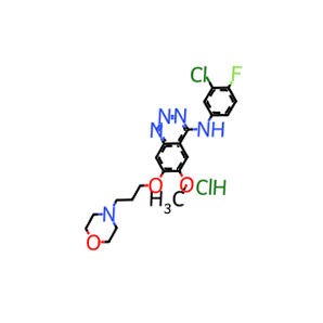 COc1cc2c(Nc3ccc(F)c(Cl)c3)nnnc2cc1OCCCN1CCOCC1.Cl